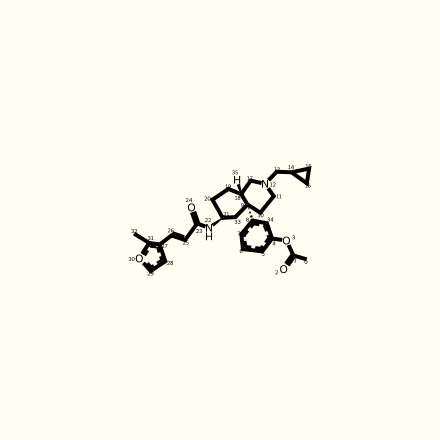 CC(=O)Oc1cccc([C@@]23CCN(CC4CC4)C[C@H]2CC[C@H](NC(=O)C=Cc2ccoc2C)C3)c1